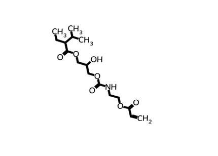 C=CC(=O)OCCNC(=O)OCC(O)COC(=O)C(CC)C(C)C